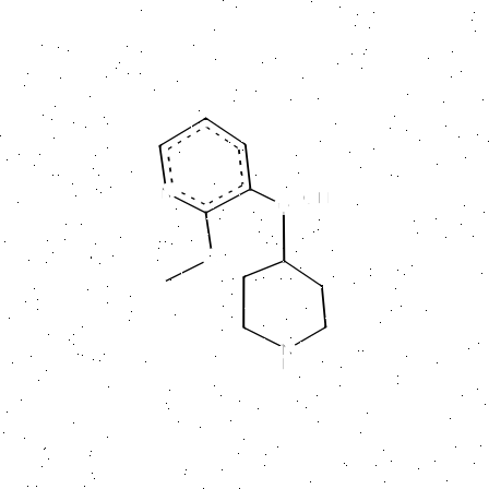 COc1ncccc1OC1CCNCC1.Cl